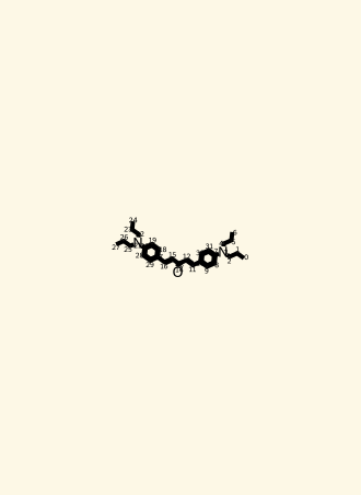 CCCN(CCC)c1ccc(/C=C/C(=O)/C=C/c2ccc(N(CCC)CCC)cc2)cc1